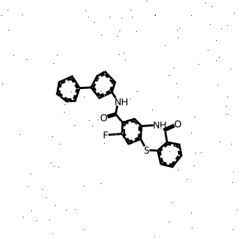 O=C(Nc1cccc(-c2ccccc2)c1)c1cc2c(cc1F)Sc1ccccc1C(=O)N2